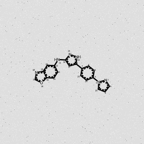 c1cnn(-c2ccc(-c3cc(Nc4ccc5ocnc5c4)n[nH]3)cc2)c1